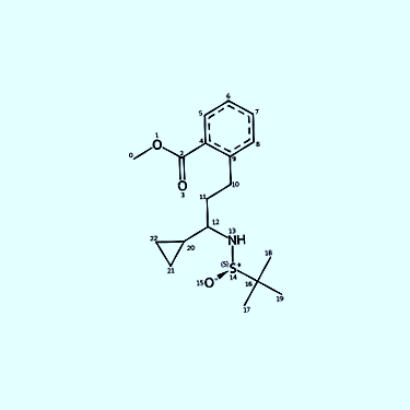 COC(=O)c1ccccc1CCC(N[S@+]([O-])C(C)(C)C)C1CC1